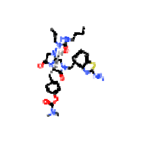 CCCCNC(=O)N(CCC)N1CC(=O)N2[C@@H](Cc3ccc(OC(=O)N(C)C)cc3)C(=O)N(Cc3cccc4sc(N)nc34)C[C@@H]21